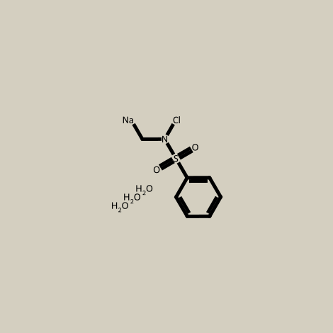 O.O.O.O=S(=O)(c1ccccc1)N(Cl)[CH2][Na]